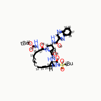 CCC(C)S(=O)(=O)NC(=O)[C@@]12C[C@H]1/C=C\CCCCC[C@H](NC(=O)OC(C)(C)C)C(=O)N1C[C@H](NC(=O)c3cnc4ccccc4n3)C[C@H]1C(=O)N2